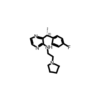 C[C@H](c1ccc(F)cc1)c1nccnc1NCCN1CCCC1